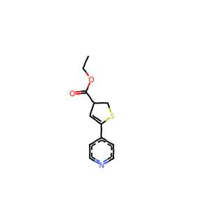 CCOC(=O)C1C=C(c2ccncc2)SC1